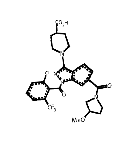 COC1CCN(C(=O)c2ccc3c(N4CCC(C(=O)O)CC4)nn(C(=O)c4c(Cl)cccc4C(F)(F)F)c3c2)C1